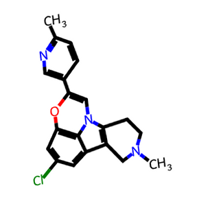 Cc1ccc(C2=Cn3c4c(c5cc(Cl)cc(c53)O2)CN(C)CC4)cn1